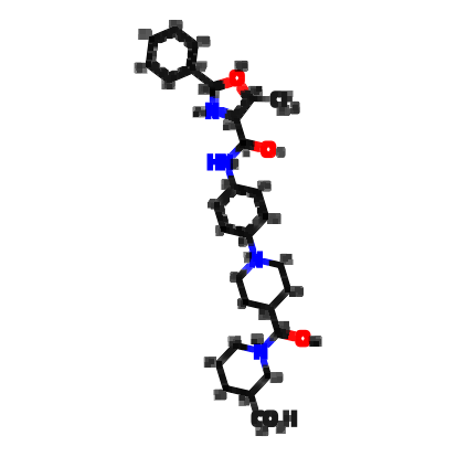 O=C(Nc1ccc(N2CCC(C(=O)N3CCCC(C(=O)O)C3)CC2)cc1)c1nc(-c2ccccc2)oc1C(F)(F)F